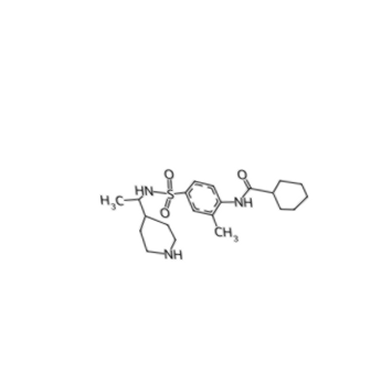 Cc1cc(S(=O)(=O)NC(C)C2CCNCC2)ccc1NC(=O)C1CCCCC1